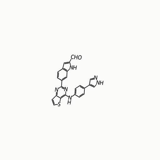 O=Cc1cc2ccc(-c3nc(Nc4ccc(-c5cn[nH]c5)cc4)c4sccc4n3)cc2[nH]1